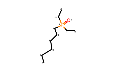 CCCCCCP(=O)(CC)CC